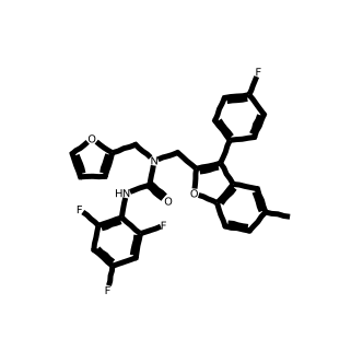 Cc1ccc2oc(CN(Cc3ccco3)C(=O)Nc3c(F)cc(F)cc3F)c(-c3ccc(F)cc3)c2c1